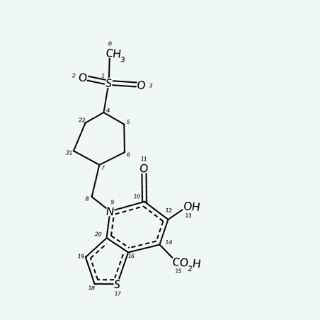 CS(=O)(=O)C1CCC(Cn2c(=O)c(O)c(C(=O)O)c3sccc32)CC1